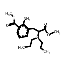 CCCN(CCC)C(Cc1cccc(C(=O)OC)c1N)C(=O)OC